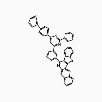 c1ccc(-c2ccc(-c3cc(-c4cccc(-c5nc6cc7ccccc7cc6c6sc7ccccc7c56)c4)nc(-c4ccccc4)n3)cc2)cc1